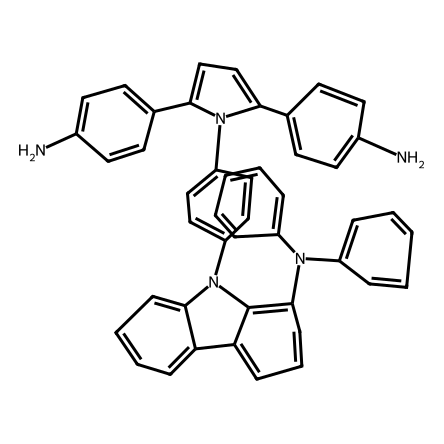 Nc1ccc(-c2ccc(-c3ccc(N)cc3)n2-c2ccc(-n3c4ccccc4c4cccc(N(c5ccccc5)c5ccccc5)c43)cc2)cc1